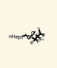 CCCCCCCC[O][Sn](=[O])[C](F)(F)C(F)(F)C(C)F